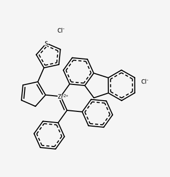 C1=CC(c2ccsc2)=[C]([Zr+2](=[C](c2ccccc2)c2ccccc2)[c]2cccc3c2Cc2ccccc2-3)C1.[Cl-].[Cl-]